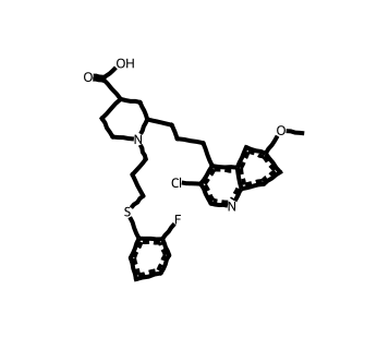 COc1ccc2ncc(Cl)c(CCCC3CC(C(=O)O)CCN3CCCSc3ccccc3F)c2c1